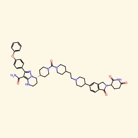 NC(=O)c1c(-c2ccc(Oc3ccccc3)cc2)nn2c1NCC[C@H]2C1CCN(C(=O)N2CCC(CCN3CCC(c4ccc5c(c4)CN(C4CCC(=O)NC4=O)C5=O)CC3)CC2)CC1